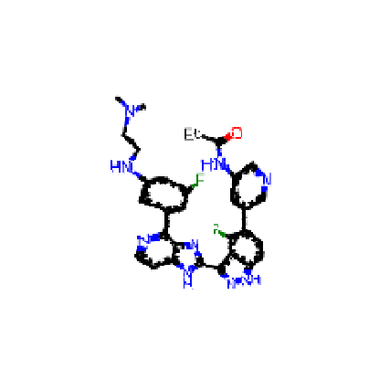 CCC(=O)Nc1cncc(-c2ccc3[nH]nc(-c4nc5c(-c6cc(F)cc(NCCN(C)C)c6)nccc5[nH]4)c3c2F)c1